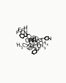 CCC(C)C(NC(=O)Cc1ccccc1F)C(=O)N[C@@]1(C(=O)NC(C(=O)OCc2ccncc2)C(C)CC)CCc2[nH]c3c(C(F)(F)F)cccc3c2C1